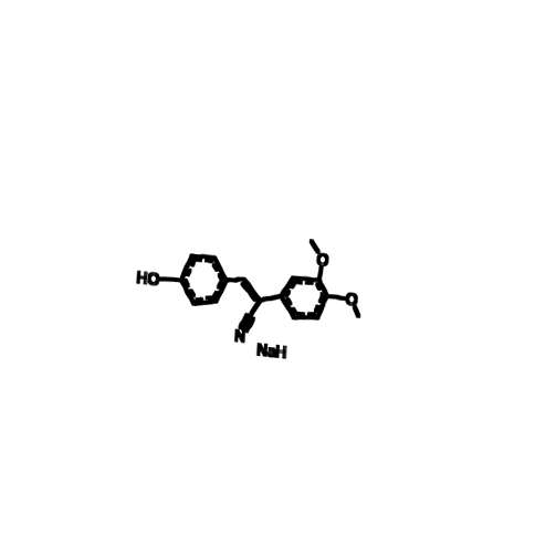 COc1ccc(C(C#N)=Cc2ccc(O)cc2)cc1OC.[NaH]